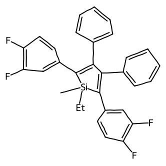 CC[Si]1(C)C(c2ccc(F)c(F)c2)=C(c2ccccc2)C(c2ccccc2)=C1c1ccc(F)c(F)c1